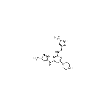 Cc1cc(Nc2cc(N3CCNCC3)nc(NCC3=CC(C)NO3)n2)[nH]n1